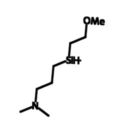 COCC[SiH]CCCN(C)C